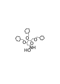 ONC1CC(OCc2ccccc2)C(OCc2ccccc2)C(COCc2ccccc2)O1